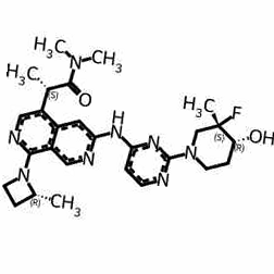 C[C@H](C(=O)N(C)C)c1cnc(N2CC[C@H]2C)c2cnc(Nc3ccnc(N4CC[C@@H](O)[C@@](C)(F)C4)n3)cc12